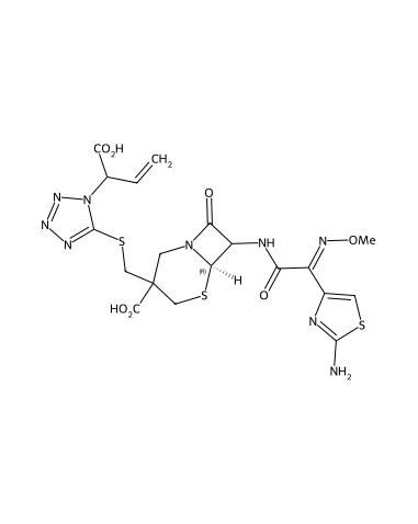 C=CC(C(=O)O)n1nnnc1SCC1(C(=O)O)CS[C@@H]2C(NC(=O)C(=NOC)c3csc(N)n3)C(=O)N2C1